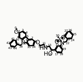 COc1ccc2c3cc(OCCNC[C@H](O)c4cccc(N(Cc5ccccc5)S(C)(=O)=O)c4)ccc3n(Cc3ccccc3)c2c1